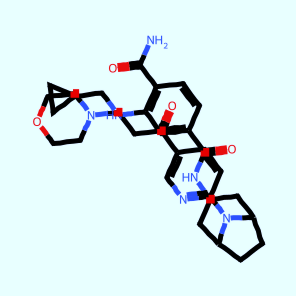 NC(=O)c1ccc(C(=O)NC2CC3CCC(C2)N3c2ccc(C(=O)CCN3CCOCC3)cn2)cc1NCC1CC1